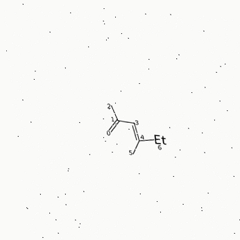 C=C(C)/C=C(\C)CC